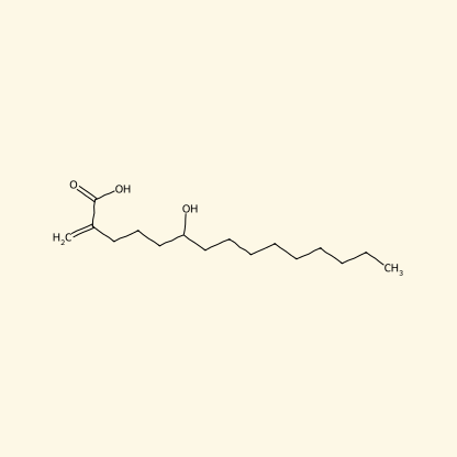 C=C(CCCC(O)CCCCCCCCC)C(=O)O